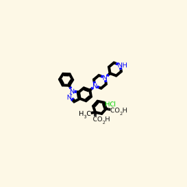 CC1(C(=O)O)C=CC=C(C(=O)O)C1.Cl.c1ccc(-n2ncc3ccc(N4CCN(C5CCNCC5)CC4)cc32)cc1